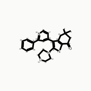 CC1(C)CC(=O)c2sc(N3CCOCC3)c(-c3ccnc(-c4ccccc4)c3)c2C1